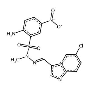 CN(N=Cc1cnc2ccc(Cl)cn12)S(=O)(=O)c1cc([N+](=O)[O-])ccc1N